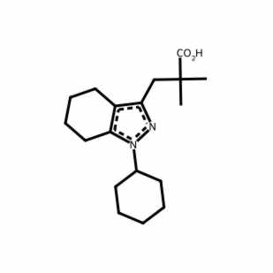 CC(C)(Cc1nn(C2CCCCC2)c2c1CCCC2)C(=O)O